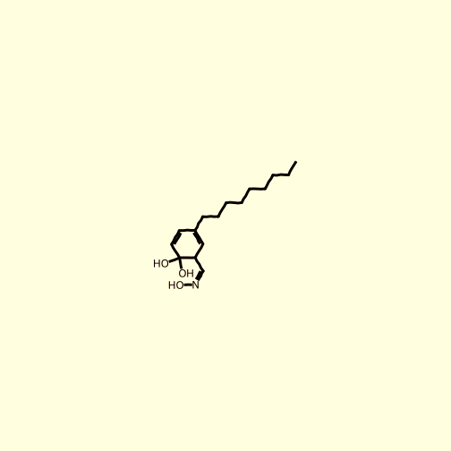 CCCCCCCCCC1=CC(/C=N\O)C(O)(O)C=C1